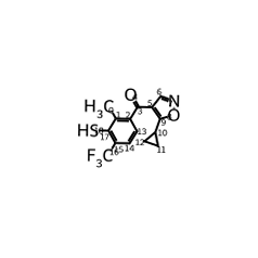 Cc1c(C(=O)c2cnoc2C2CC2)ccc(C(F)(F)F)c1S